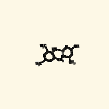 Cc1cc(C)c(Nc2nc(C)cc(O)n2)c(C)c1